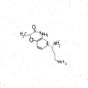 CC1Oc2ccc(C(N)CCCN)cc2NC1=O